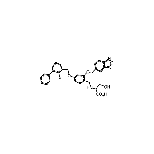 O=C(O)C(CO)NCc1ccc(OCc2cccc(-c3ccccc3)c2F)cc1OCc1ccc2nonc2c1